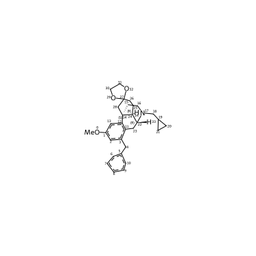 COc1cc(Cc2ccccc2)c2c(c1)[C@]13CCN(CC4CC4)[C@H](C2)[C@@H]1CCC1(C3)OCCO1